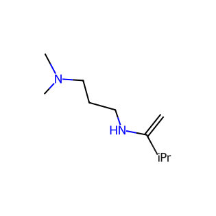 C=C(NCCCN(C)C)C(C)C